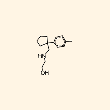 Cc1ccc(C2(CNCCO)CCCC2)cc1